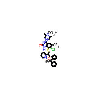 CC1CN(c2nc(=O)[nH]c3c(SCC(CO[Si](c4ccccc4)(c4ccccc4)C(C)(C)C)c4ccccn4)c(Cl)c(C(F)(F)F)cc23)CC(C)N1C(=O)O